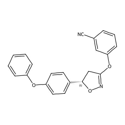 N#Cc1cccc(OC2=NO[C@H](c3ccc(Oc4ccccc4)cc3)C2)c1